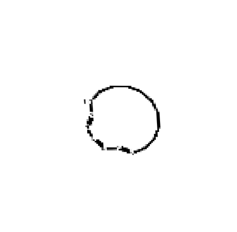 C1CCCC/N=N/N=N\N=N\NCCCC1